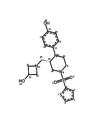 O=S(=O)(c1cccs1)N1CCN(c2ccc(O)cc2)[C@@H](CN2CC(O)C2)C1